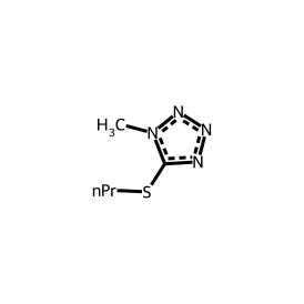 CCCSc1nnnn1C